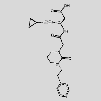 O=C(O)C[C@H](C#CC1CC1)NC(=O)CN1CCC[C@@H](CCc2ccncc2)C1=O